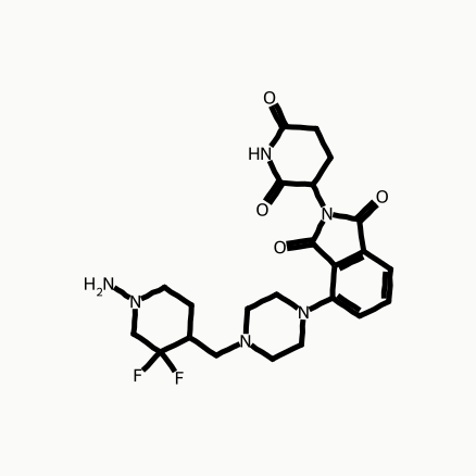 NN1CCC(CN2CCN(c3cccc4c3C(=O)N(C3CCC(=O)NC3=O)C4=O)CC2)C(F)(F)C1